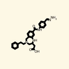 NN=Cc1ccc(NC(=O)c2ccc3c(c2)NC(CC(=O)O)CN(CCc2ccccc2)C3)cc1